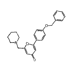 O=c1cc(CN2CCCCC2)oc(-c2ccc(OCc3ccccc3)cc2)c1